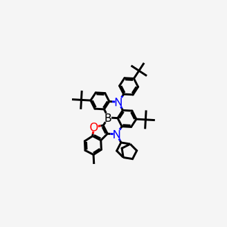 Cc1ccc2oc3c(c2c1)N(C1CC2CCC1C2)c1cc(C(C)(C)C)cc2c1B3c1cc(C(C)(C)C)ccc1N2c1ccc(C(C)(C)C)cc1